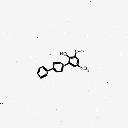 O=Cc1cc([N+](=O)[O-])cc(-c2ccc(-c3ccccc3)cc2)c1O